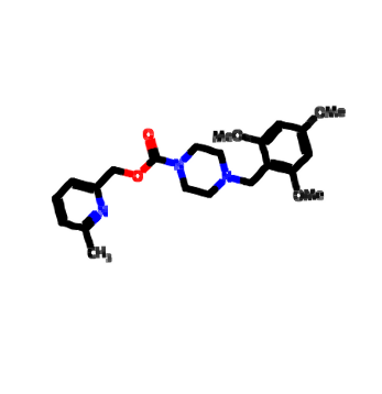 COc1cc(OC)c(CN2CCN(C(=O)OCc3cccc(C)n3)CC2)c(OC)c1